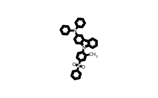 Cc1cc(S(=O)(=O)c2ccccc2)ccc1-n1c2ccccc2c2cc(N(c3ccccc3)c3ccccc3)ccc21